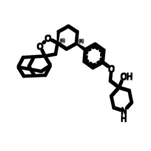 OC1(COc2ccc([C@@H]3CCC[C@@]4(C3)CC3(OO4)C4CC5CC(C4)CC3C5)cc2)CCNCC1